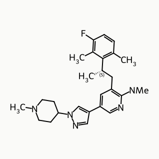 CNc1ncc(-c2cnn(C3CCN(C)CC3)c2)cc1C[C@H](C)c1c(C)ccc(F)c1C